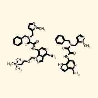 Cn1nccc1CN(Cc1ccccc1)C(=O)C(=O)Nc1cnc(N)c2cn[nH]c12.Cn1nccc1CN(Cc1ccccc1)C(=O)C(=O)Nc1cnc(N)c2cnn(COCC[Si](C)(C)C)c12